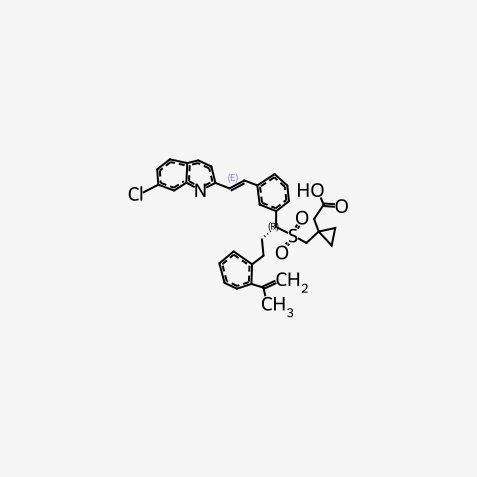 C=C(C)c1ccccc1CC[C@H](c1cccc(/C=C/c2ccc3ccc(Cl)cc3n2)c1)S(=O)(=O)CC1(CC(=O)O)CC1